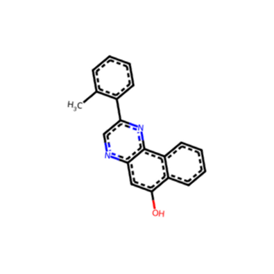 Cc1ccccc1-c1cnc2cc(O)c3ccccc3c2n1